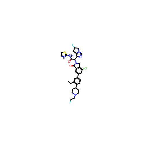 CCc1cc(-c2cc(Cl)c3c(c2)C(=O)N(C(C(=O)Nc2nccs2)c2ncn4c2CC(F)C4)C3)ccc1C1CCN(CCF)CC1